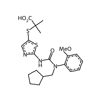 COc1ccccc1N(CC1CCCC1)C(=O)Nc1ncc(SC(C)(C)C(=O)O)s1